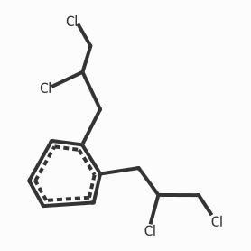 ClCC(Cl)Cc1ccccc1CC(Cl)CCl